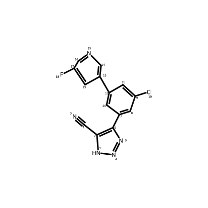 N#Cc1[nH]nnc1-c1cc(Cl)cc(-c2cncc(F)c2)c1